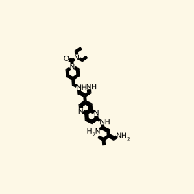 CCN(CC)C(=O)N1CCC(CN/C=C(\C=N)c2cnc3ccc(N/C(N)=C/C(=C\N)C(C)C)nc3c2)CC1